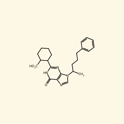 CC(CCCc1ccccc1)n1cnc2c(=O)[nH]c(C3CCCCC3C(=O)O)nc21